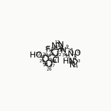 O=C(c1ccn[nH]1)N1CCN(c2ncnc3c(F)c(-c4cc(O)cc5ccccc45)c(Cl)cc23)CC1